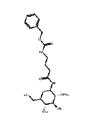 CC(=O)N[C@@H]1[C@@H](OC(C)=O)[C@H](OC(C)=O)[C@@H](COC(C)=O)O[C@H]1NC(=O)CCCNC(=O)OCc1ccccc1